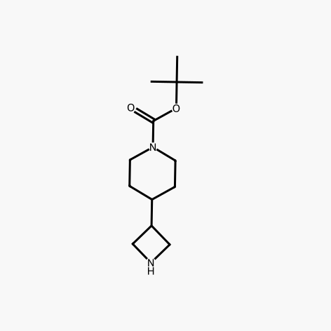 CC(C)(C)OC(=O)N1CCC(C2CNC2)CC1